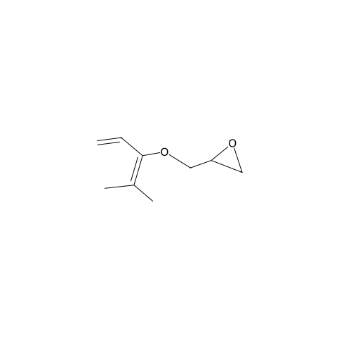 C=CC(OCC1CO1)=C(C)C